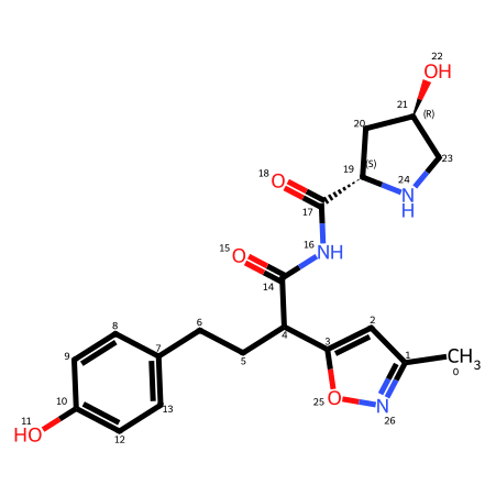 Cc1cc(C(CCc2ccc(O)cc2)C(=O)NC(=O)[C@@H]2C[C@@H](O)CN2)on1